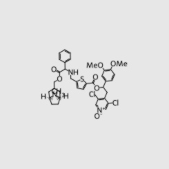 COc1ccc(C(Cc2c(Cl)c[n+]([O-])cc2Cl)OC(=O)c2ccc(CNC(C(=O)OCC3C[C@H]4CC[C@@H](C3)N4C)c3ccccc3)s2)cc1OC